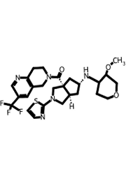 COC1COCCC1N[C@@H]1C[C@H]2CN(c3nccs3)C[C@@]2(C(=O)N2CCc3ncc(C(F)(F)F)cc3C2)C1